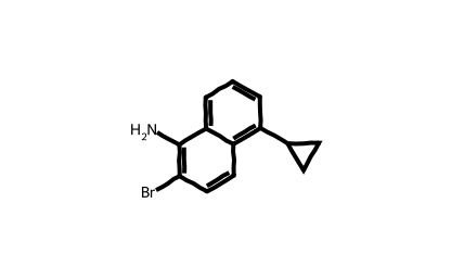 Nc1c(Br)ccc2c(C3CC3)cccc12